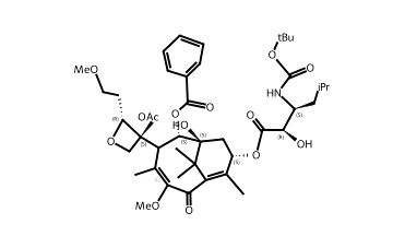 COCC[C@H]1OC[C@@]1(OC(C)=O)C1/C(C)=C(/OC)C(=O)C2=C(C)[C@@H](OC(=O)[C@H](O)[C@H](CC(C)C)NC(=O)OC(C)(C)C)C[C@@](O)([C@H]1OC(=O)c1ccccc1)C2(C)C